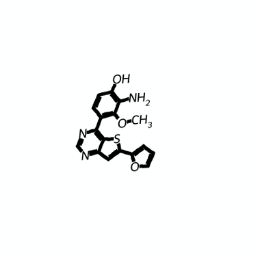 COc1c(-c2ncnc3cc(-c4ccco4)sc23)ccc(O)c1N